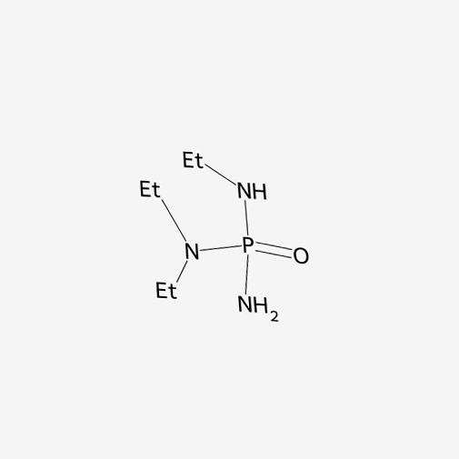 CCNP(N)(=O)N(CC)CC